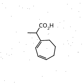 CC(C(=O)O)C1=CC=CCCC1